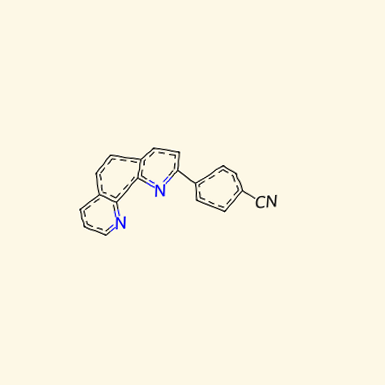 N#Cc1ccc(-c2ccc3ccc4cccnc4c3n2)cc1